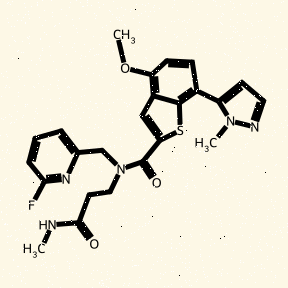 CNC(=O)CCN(Cc1cccc(F)n1)C(=O)c1cc2c(OC)ccc(-c3ccnn3C)c2s1